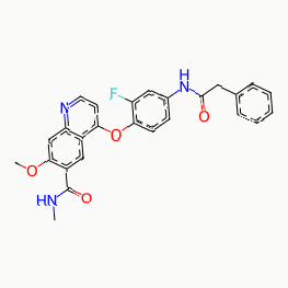 CNC(=O)c1cc2c(Oc3ccc(NC(=O)Cc4ccccc4)cc3F)ccnc2cc1OC